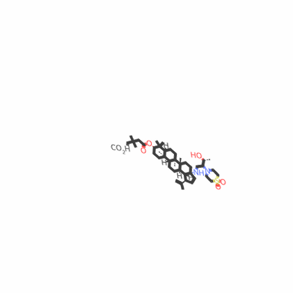 C=C(C)[C@@H]1CC[C@]2(NCC([C@@H](C)O)N3CCS(=O)(=O)CC3)CC[C@]3(C)[C@H](CC[C@@H]4[C@@]5(C)CC[C@H](OC(=O)CC(C)(C)CC(=O)O)C(C)(C)[C@@H]5CC[C@]43C)[C@@H]12